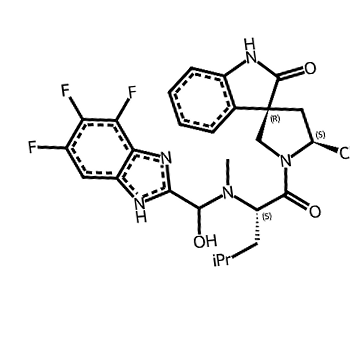 CC(C)C[C@@H](C(=O)N1C[C@]2(C[C@H]1C#N)C(=O)Nc1ccccc12)N(C)C(O)c1nc2c(F)c(F)c(F)cc2[nH]1